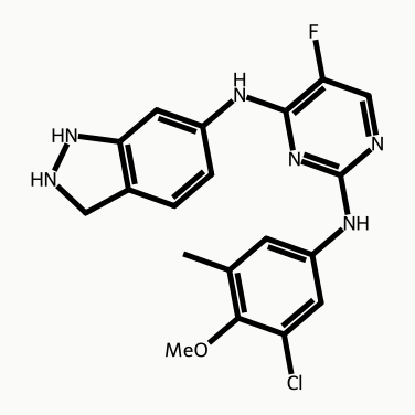 COc1c(C)cc(Nc2ncc(F)c(Nc3ccc4c(c3)NNC4)n2)cc1Cl